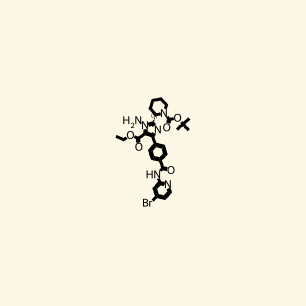 CCOC(=O)c1c(-c2ccc(C(=O)Nc3cc(Br)ccn3)cc2)nc([C@@H]2CCCCN2C(=O)OC(C)(C)C)n1N